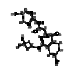 O=C(Cn1nc(OC2CC(F)(F)C2)c2cc(Br)ccc2c1=O)Nc1ncc(F)cn1